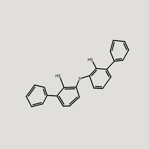 Sc1c(Sc2cccc(-c3ccccc3)c2S)cccc1-c1ccccc1